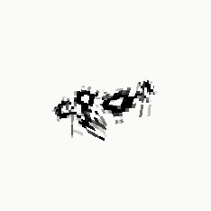 O=S1(=O)NC2CCCN2c2ccc(Oc3cccc(-c4ncc[nH]4)c3)cc21